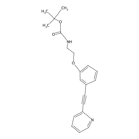 CC(C)(C)OC(=O)NCCOc1cccc(C#Cc2ccccn2)c1